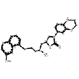 COc1cnc2cccc(CCCN(C)CC3CN(c4ccc5c(c4)OCCO5)C(=O)O3)c2c1